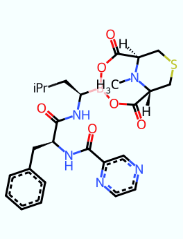 CC(C)C[C@H](NC(=O)[C@H](Cc1ccccc1)NC(=O)c1cnccn1)B1OC(=O)[C@H]2CSC[C@H](C(=O)O1)N2C